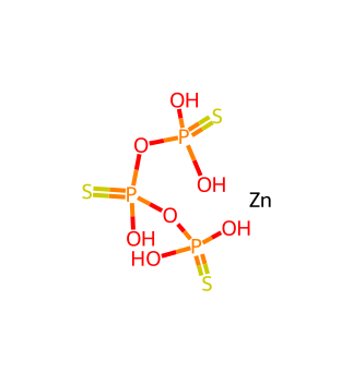 OP(O)(=S)OP(O)(=S)OP(O)(O)=S.[Zn]